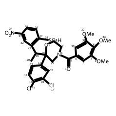 COc1cc(C(=O)N2CCOC(c3ccc(Cl)c(Cl)c3)(C(C)c3cc([N+](=O)[O-])ccc3S(=O)(=O)O)C2)cc(OC)c1OC